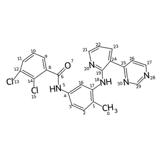 Cc1ccc(NC(=O)c2cccc(Cl)c2Cl)cc1Nc1ncccc1-c1ccncn1